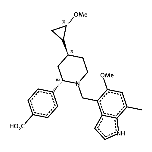 COc1cc(C)c2[nH]ccc2c1CN1CC[C@H](C2C[C@@H]2OC)C[C@H]1c1ccc(C(=O)O)cc1